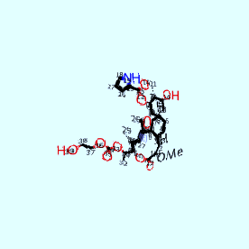 CO[C@H]1C[C@H]2C=C[C@@H]3C[C@]2(O[C@H]3[C@H](OC(=O)c2ccc[nH]2)[C@H](C)[C@H](C)O)/C(C)=C/[C@@H](C)[C@@H]([C@@H](C)OC(=O)OCCO)OC1=O